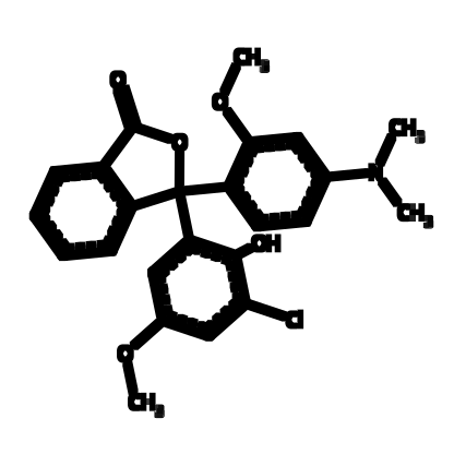 COc1cc(Cl)c(O)c(C2(c3ccc(N(C)C)cc3OC)OC(=O)c3ccccc32)c1